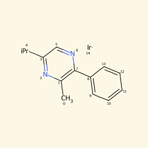 Cc1nc(C(C)C)cnc1-c1ccccc1.[Ir]